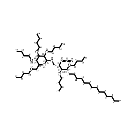 CCCCCCCCCCCCCC[C@@H](OCCCC)[C@@H](OCCCC)[C@H](CO[C@H]1OC(COCCCC)[C@H](OCCCC)C(OCCCC)C1OCCCC)N=[N+]=[N-]